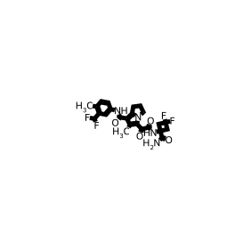 Cc1ccc(NC(=O)c2c(C)c(C(=O)C(=O)NC3(C(N)=O)CC(F)(F)C3)n3c2CCC3)cc1C(F)F